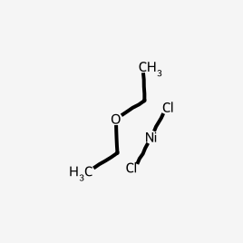 CCOCC.[Cl][Ni][Cl]